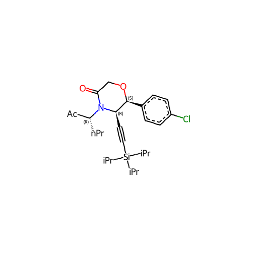 CCC[C@H](C(C)=O)N1C(=O)CO[C@@H](c2ccc(Cl)cc2)[C@H]1C#C[Si](C(C)C)(C(C)C)C(C)C